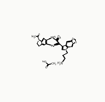 CC(=O)N1CCc2cc3nc(-c4cn(CCCN)c5cc6c(cc45)OCO6)c(=O)[nH]c3cc21.CC(=O)O